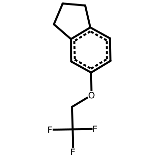 FC(F)(F)COc1ccc2c(c1)CCC2